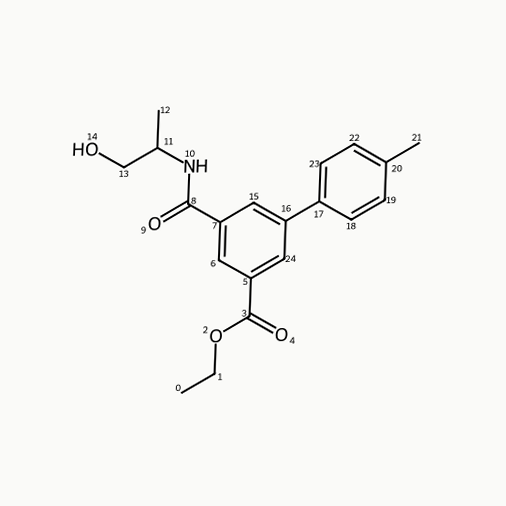 CCOC(=O)c1cc(C(=O)NC(C)CO)cc(-c2ccc(C)cc2)c1